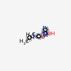 Cc1cccc(CN(C)c2ccc(Oc3nc(O)c4ccncc4n3)cc2)c1